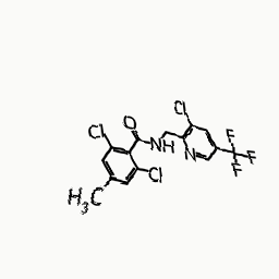 Cc1cc(Cl)c(C(=O)NCc2ncc(C(F)(F)F)cc2Cl)c(Cl)c1